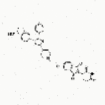 O=C1CCC(N2C(=O)c3ccc(OCCN4CCC(n5cc(-c6ccc7c(c6)CCC7O)c(-c6ccncc6)n5)CC4)cc3C2=O)C(=O)N1